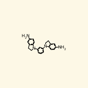 Nc1ccc2c(c1)CCN2c1cccc(N2CCc3cc(N)ccc32)c1